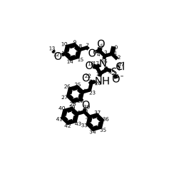 C=C(C)C(C(=O)OCc1ccc(OC)cc1)N1C(=O)C(NC(=O)Cc2ccccc2OC(c2ccccc2)c2ccccc2)C1[S+]([O-])Cl